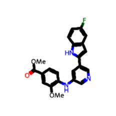 COC(=O)c1ccc(Nc2cncc(-c3cc4cc(F)ccc4[nH]3)c2)c(OC)c1